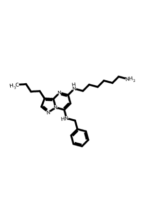 CCCCc1cnn2c(NCc3ccccc3)cc(NCCCCCCN)nc12